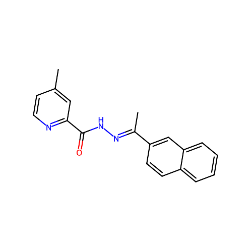 CC(=NNC(=O)c1cc(C)ccn1)c1ccc2ccccc2c1